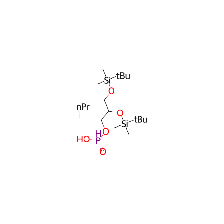 CC(C)(C)[Si](C)(C)OCC(CO[PH](=O)O)O[Si](C)(C)C(C)(C)C.CCCC